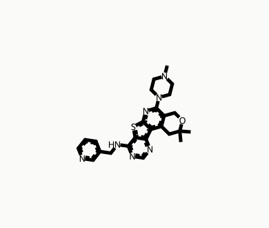 CN1CCN(c2nc3sc4c(NCc5cccnc5)ncnc4c3c3c2COC(C)(C)C3)CC1